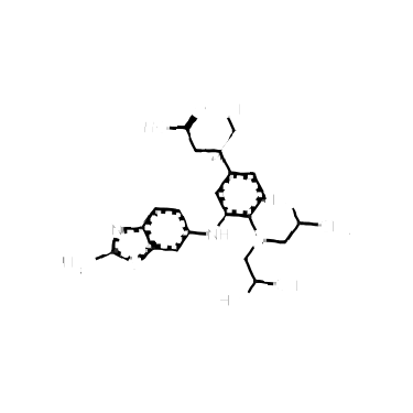 CC[C@H](CC(=O)O)c1ccc(N(CC(C)C)CC(C)C)c(Nc2ccc3nc(C)sc3c2)c1